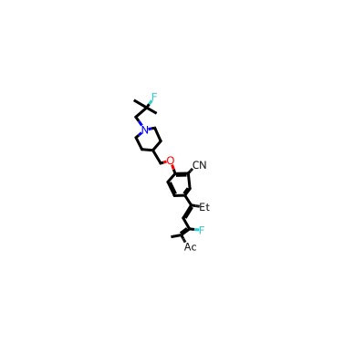 CC/C(=C\C(F)=C(/C)C(C)=O)c1ccc(OCC2CCN(CC(C)(C)F)CC2)c(C#N)c1